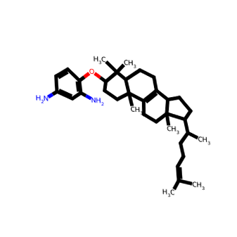 CC(C)=CCCC(C)C1CCC2C3=C(CCC21C)C1(C)CCC(Oc2ccc(N)cc2N)C(C)(C)C1CC3